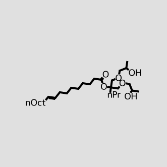 CCCCCCCCC=CCCCCCCCC(=O)OC(CCC)(COCC(C)O)COCC(C)O